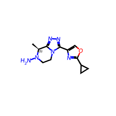 C[C@H]1c2nnc(-c3coc(C4CC4)n3)n2CCN1N